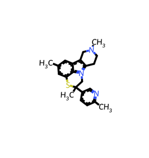 Cc1cc2c3c(c1)c1c(n3CC(C)(c3ccc(C)nc3)S2)CCN(C)C1